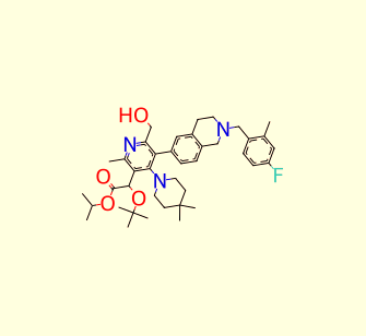 Cc1cc(F)ccc1CN1CCc2cc(-c3c(CO)nc(C)c(C(OC(C)(C)C)C(=O)OC(C)C)c3N3CCC(C)(C)CC3)ccc2C1